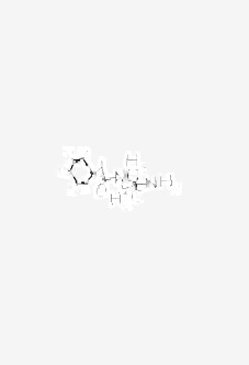 CC(C)(N)CNC(=O)Cc1ccccc1